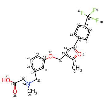 Cc1oc(-c2ccc(C(F)(F)F)cc2)cc1COc1cccc(CN(C)CC(=O)O)c1